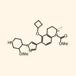 COC(=O)N1c2ccc(-c3cnn(C4CCNCC4OC)c3)c(OC3CCC3)c2CC[C@@H]1C